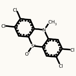 CN1c2cc(Cl)c(Cl)cc2[S+]([O-])c2cc(Cl)c(Cl)cc21